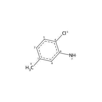 Cc1ccc(Cl)c([NH])c1